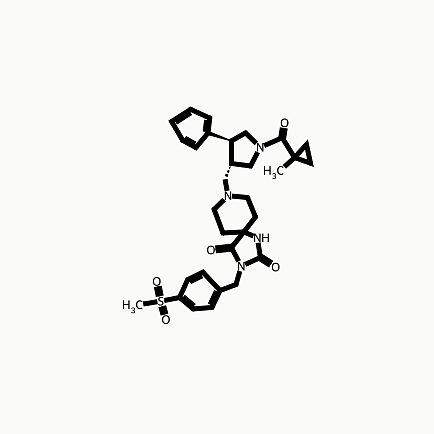 CC1(C(=O)N2C[C@H](CN3CCC4(CC3)NC(=O)N(Cc3ccc(S(C)(=O)=O)cc3)C4=O)[C@@H](c3ccccc3)C2)CC1